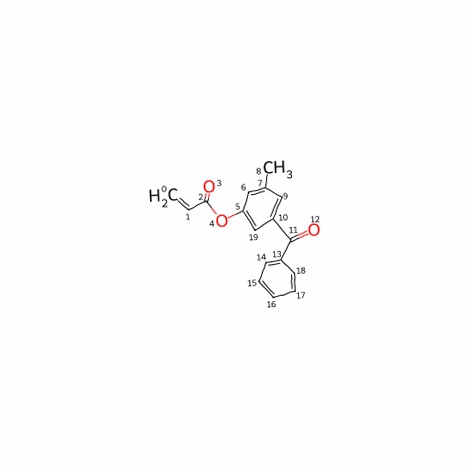 C=CC(=O)Oc1cc(C)cc(C(=O)c2ccccc2)c1